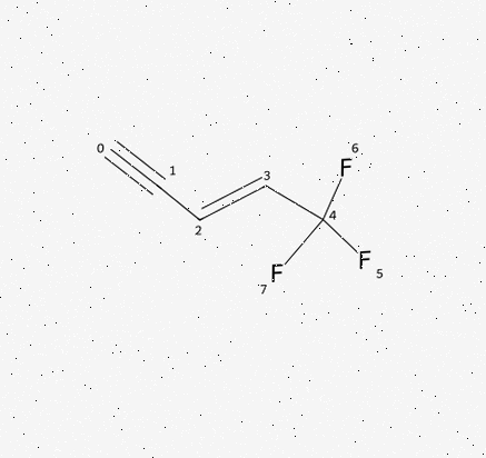 C#CC=CC(F)(F)F